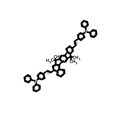 CC1(C)c2cc(/C=C/c3ccc(N(c4ccccc4)c4ccccc4)cc3)ccc2-c2cc3c(cc21)-c1c(cc(/C=C/c2ccc(N(c4ccccc4)c4ccccc4)cc2)c2ccccc12)C3(C)C